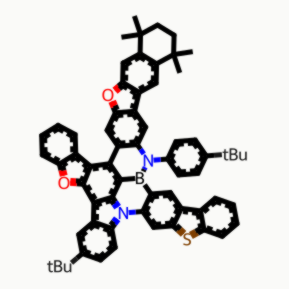 CC(C)(C)c1ccc(N2B3c4cc5c(cc4-n4c6ccc(C(C)(C)C)cc6c6c7oc8ccccc8c7c(c3c64)-c3cc4oc6cc7c(cc6c4cc32)C(C)(C)CCC7(C)C)sc2ccccc25)cc1